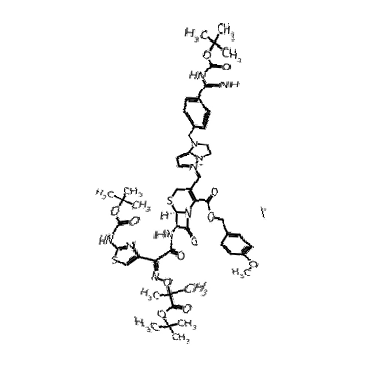 COc1ccc(COC(=O)C2=C(C[n+]3ccc4n3CCN4Cc3ccc(C(=N)NC(=O)OC(C)(C)C)cc3)CS[C@@H]3[C@H](NC(=O)/C(=N\OC(C)(C)C(=O)OC(C)(C)C)c4csc(NC(=O)OC(C)(C)C)n4)C(=O)N23)cc1.[I-]